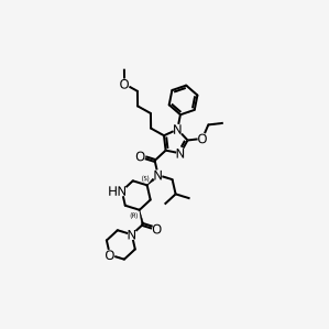 CCOc1nc(C(=O)N(CC(C)C)[C@@H]2CNC[C@H](C(=O)N3CCOCC3)C2)c(CCCCOC)n1-c1ccccc1